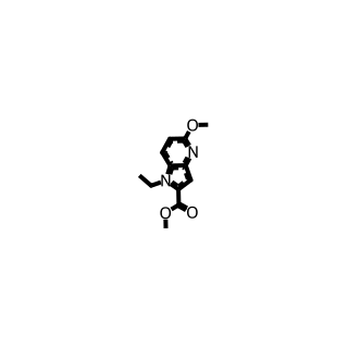 CCn1c(C(=O)OC)cc2nc(OC)ccc21